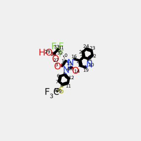 C[C@H]1C(=O)N(c2ccc(SC(F)(F)F)cc2)C(=O)N1Cc1ccnc2ccccc12.O=C(O)C(F)(F)F